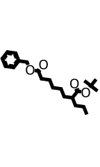 CCCC(CCCCCC(=O)OCc1ccccc1)C(=O)OC(C)(C)C